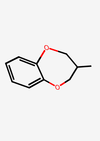 CC1COc2ccccc2OC1